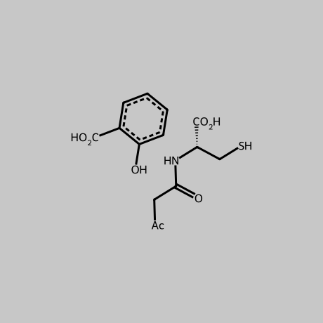 CC(=O)CC(=O)N[C@@H](CS)C(=O)O.O=C(O)c1ccccc1O